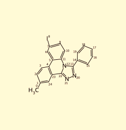 Cc1ccc2c3cc(I)ccc3n3c(-c4ccccc4)nnc3c2c1